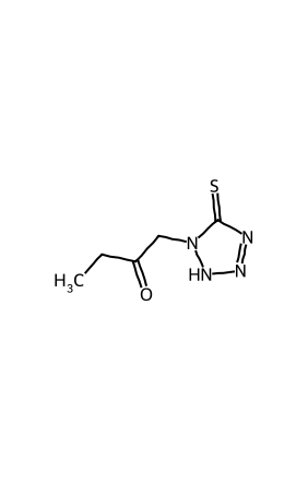 CCC(=O)Cn1[nH]nnc1=S